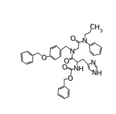 CCCN(C(=O)CN(Cc1ccc(OCc2ccccc2)cc1)C(=O)C(Cc1c[nH]cn1)NC(=O)OCc1ccccc1)c1ccccc1